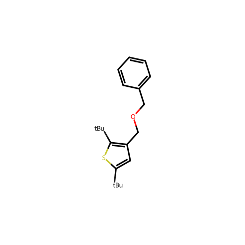 CC(C)(C)c1cc(COCc2ccccc2)c(C(C)(C)C)s1